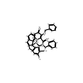 O=C1c2c(OCc3ccccc3)c(=O)ccn2N(C23C(=Cc4ccccc42)Cc2cc(F)c(F)cc23)CN1Cc1ccccc1